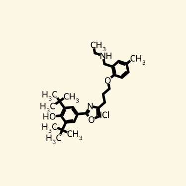 CCNCc1cc(C)ccc1OCCCc1coc(-c2cc(C(C)(C)C)c(O)c(C(C)(C)C)c2)n1.Cl